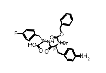 Nc1ccc(C[C@@H](C(=O)N[C@@H](Cc2ccc(F)cc2)C(=O)O)N(Br)C(=O)OCc2ccccc2)cc1